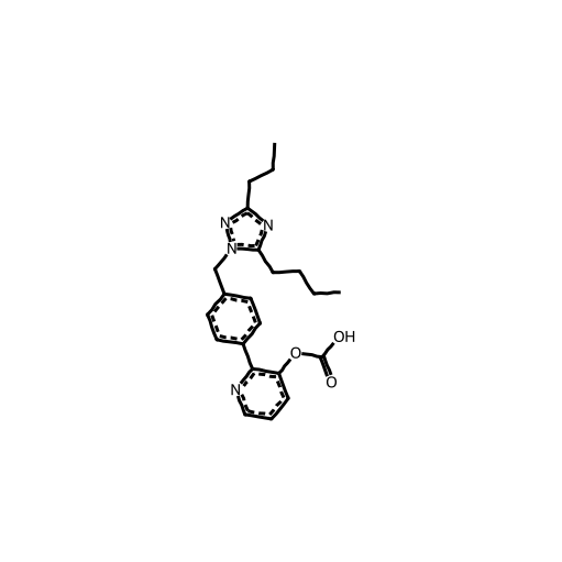 CCCCc1nc(CCC)nn1Cc1ccc(-c2ncccc2OC(=O)O)cc1